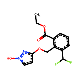 CCOC(=O)c1cccc(C(F)F)c1COc1ccn(O)n1